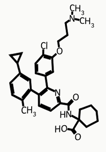 Cc1ccc(C2CC2)cc1-c1ccc(C(=O)NC2(C(=O)O)CCCCC2)nc1-c1ccc(Cl)c(OCCCN(C)C)c1